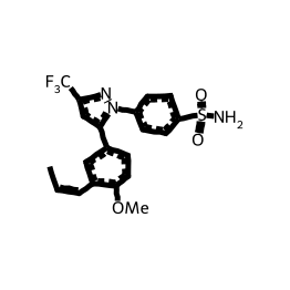 C/C=C\c1cc(-c2cc(C(F)(F)F)nn2-c2ccc(S(N)(=O)=O)cc2)ccc1OC